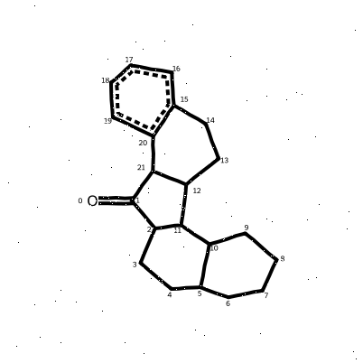 O=C1C2CCC3CCCCC3C2C2CCc3ccccc3C12